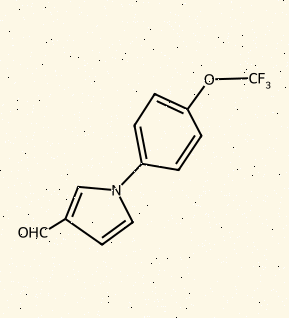 O=Cc1ccn(-c2ccc(OC(F)(F)F)cc2)c1